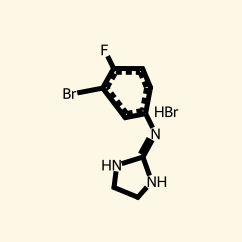 Br.Fc1ccc(N=C2NCCN2)cc1Br